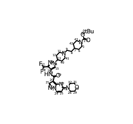 CC(C)(C)OC(=O)N1CCC(CCN2CCC(n3cc(NC(=O)c4cnn5ccc(N6CCOCC6)nc45)c(C(F)F)n3)CC2)CC1